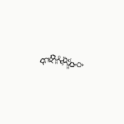 COc1cc(N2CCN(C)CC2)ccc1Nc1ncnc2c(C(=O)Nc3cccc4c3c(C)nn4Cc3cccc(C)n3)csc12